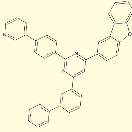 c1ccc(-c2cccc(-c3cc(-c4ccc5oc6ccccc6c5c4)nc(-c4ccc(-c5cccnc5)cc4)n3)c2)cc1